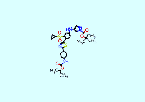 CC(C)OC(=O)NC1CCC(c2ncc(-c3ccc(Nc4cnn(C(=O)OC(C)(C)C)c4)cc3S(=O)(=O)C3CC3)s2)CC1